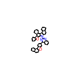 c1ccc2c(c1)ccc1oc3cc(-c4nc(-n5c6ccc7ccccc7c6c6c7ccccc7c7c8ccccc8oc7c65)nc5ccccc45)ccc3c12